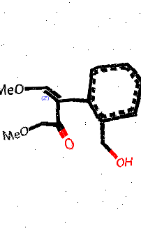 CO/C=C(\C(=O)OC)c1ccccc1CO